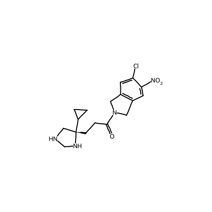 O=C(CC[C@]1(C2CC2)CNCN1)N1Cc2cc(Cl)c([N+](=O)[O-])cc2C1